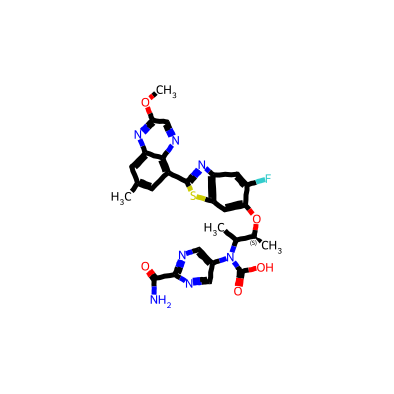 COc1cnc2c(-c3nc4cc(F)c(O[C@@H](C)C(C)N(C(=O)O)c5cnc(C(N)=O)nc5)cc4s3)cc(C)cc2n1